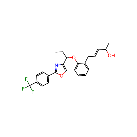 CCC(Oc1ccccc1C/C=C/C(C)O)c1coc(-c2ccc(C(F)(F)F)cc2)n1